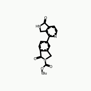 CC(C)(C)OC(=O)N1Cc2cc(-c3nccc4c3CNC4=O)ccc2C1=O